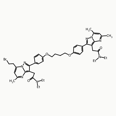 CCN(CC)C(=O)Cc1c(-c2ccc(OCCCCOc3ccc(-c4nn5c(CCBr)cc(C)nc5c4CC(=O)N(CC)CC)cc3)cc2)nn2c(C)cc(C)nc12